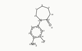 Nc1ccc(N2CCCCCC2=O)cc1F